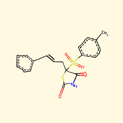 Cc1ccc(S(=O)(=O)C2(CC=Cc3ccccc3)SC(=O)NC2=O)cc1